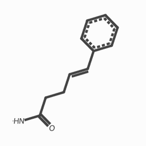 [NH]C(=O)CC/C=C/c1ccccc1